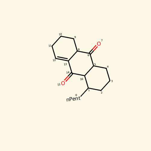 CCCCCC1CCCC2C(=O)C3CCCC=C3C(=O)C12